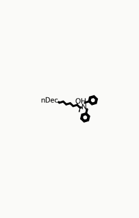 CCCCCCCCCCCCCCC[C@@H](O)[C@H](C)N(Cc1ccccc1)Cc1ccccc1